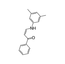 Cc1cc(C)cc(N/C=C\C(=O)c2ccccc2)c1